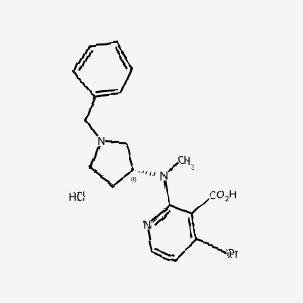 CC(C)c1ccnc(N(C)[C@@H]2CCN(Cc3ccccc3)C2)c1C(=O)O.Cl